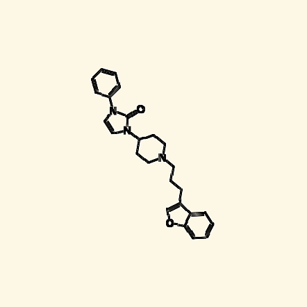 O=c1n(-c2ccccc2)ccn1C1CCN(CCCc2coc3ccccc23)CC1